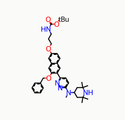 CN(c1ccc(-c2cc3ccc(OCCCNC(=O)OC(C)(C)C)cc3cc2OCc2ccccc2)nn1)C1CC(C)(C)NC(C)(C)C1